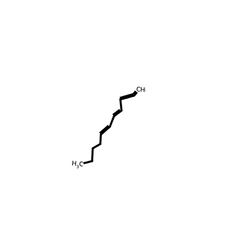 [CH]=C=CC=CC=CCCCC